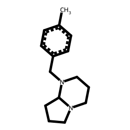 Cc1ccc(CN2CCCN3CCCC32)cc1